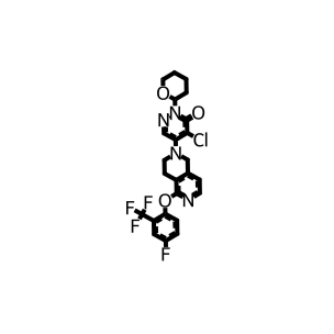 O=c1c(Cl)c(N2CCc3c(ccnc3Oc3ccc(F)cc3C(F)(F)F)C2)cnn1C1CCCCO1